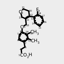 Cc1c(CCC(=O)O)ccc(OCC2=C(c3ccccc3F)CCOC2)c1C